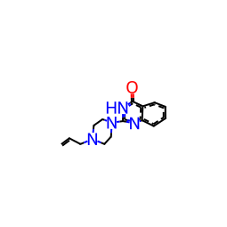 C=CCN1CCN(c2nc3ccccc3c(=O)[nH]2)CC1